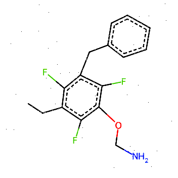 CCc1c(F)c(Cc2ccccc2)c(F)c(OCN)c1F